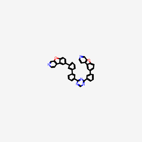 c1cc(-c2cccc(-c3ncnc(-c4cccc(-c5ccc6oc7cnccc7c6c5)c4)n3)c2)cc(-c2ccc3oc4cnccc4c3c2)c1